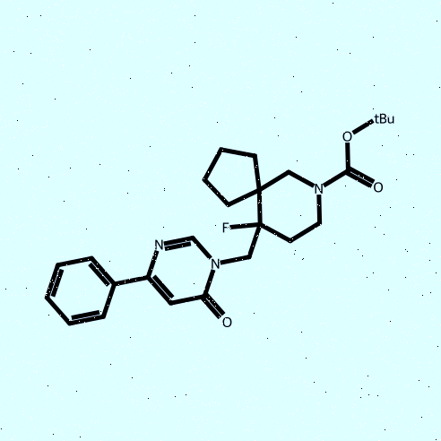 CC(C)(C)OC(=O)N1CCC(F)(Cn2cnc(-c3ccccc3)cc2=O)C2(CCCC2)C1